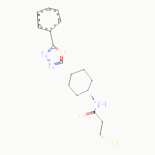 O=C(CCS)N[C@H]1CC[C@H](c2nnc(-c3ccccc3)o2)CC1